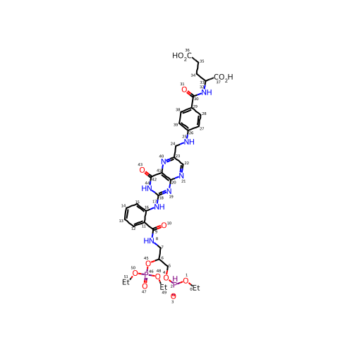 CCO[PH](=O)OCC(CNC(=O)c1ccccc1Nc1nc2ncc(CNc3ccc(C(=O)NC(CCC(=O)O)C(=O)O)cc3)nc2c(=O)[nH]1)OP(=O)(OCC)OCC